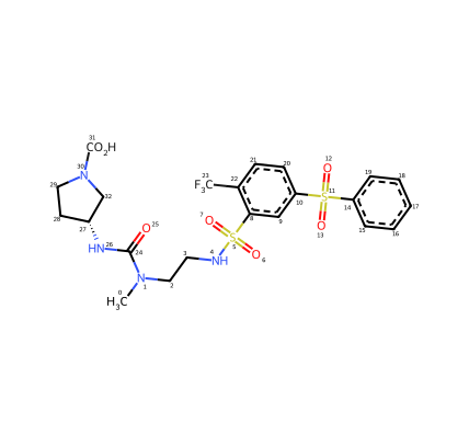 CN(CCNS(=O)(=O)c1cc(S(=O)(=O)c2ccccc2)ccc1C(F)(F)F)C(=O)N[C@@H]1CCN(C(=O)O)C1